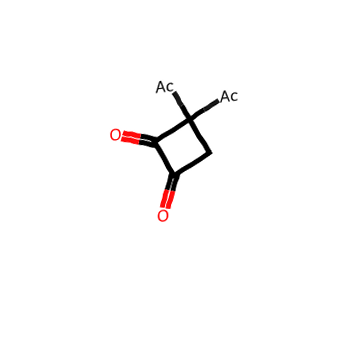 CC(=O)C1(C(C)=O)CC(=O)C1=O